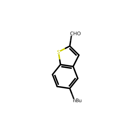 CCCCc1ccc2sc(C=O)cc2c1